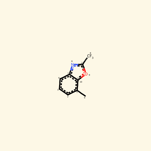 Cc1cccc2nc(C(F)(F)F)oc12